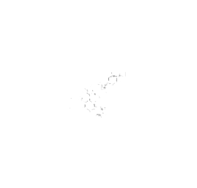 CS(=O)(=O)c1ccc(OC2CCCC2)c(C(=O)N2CCN(c3ccc(C(F)(F)F)nc3)CC2)c1